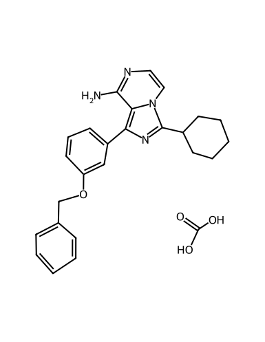 Nc1nccn2c(C3CCCCC3)nc(-c3cccc(OCc4ccccc4)c3)c12.O=C(O)O